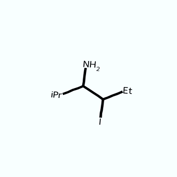 CCC(I)C(N)C(C)C